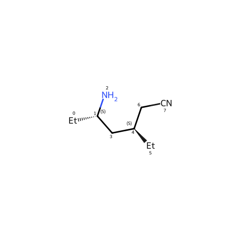 CC[C@H](N)C[C@H](CC)CC#N